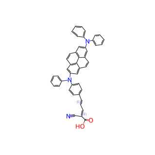 N#C/C(=C\C=C\c1ccc(N(c2ccccc2)c2cc3ccc4cc(N(c5ccccc5)c5ccccc5)cc5ccc(c2)c3c45)cc1)C(=O)O